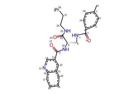 Cc1ccc(C(=O)NC[C@H](NC(=O)c2cnc3ccccc3c2)C(=O)NCCC(C)C)cc1